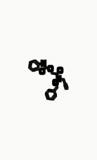 C#CCN(OCc1ccccc1)C(=O)COc1nc2ccccc2o1